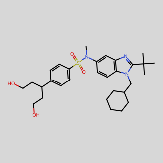 CN(c1ccc2c(c1)nc(C(C)(C)C)n2CC1CCCCC1)S(=O)(=O)c1ccc(C(CCO)CCO)cc1